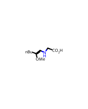 CCCCC(=CNCC(=O)O)OC